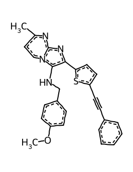 COc1ccc(CNc2c(-c3ccc(C#Cc4ccccc4)s3)nc3nc(C)ccn23)cc1